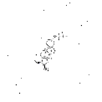 C/C=C1/[C@H](O)C[C@H]2[C@@H]3CCC4C[C@@H](O[Si](C)(C)C(C)(C)C)CC[C@]4(C)[C@H]3CC[C@]12C